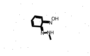 CN/N=C1/C=CC=C/C1=N\O